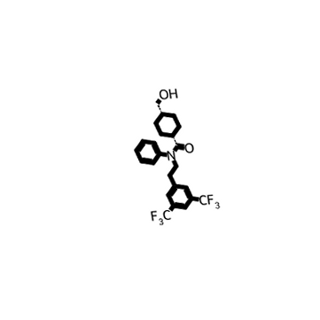 O=C([C@H]1CC[C@@H](CO)CC1)N(CCc1cc(C(F)(F)F)cc(C(F)(F)F)c1)c1ccccc1